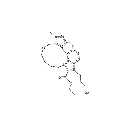 CCOC(=O)c1c(CCCO)c2ccc(F)c3c2n1CCCCOCc1c-3c(C)nn1C